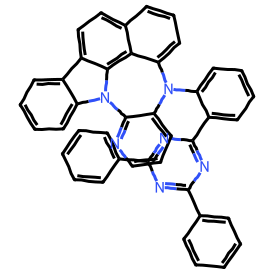 c1ccc(-c2nc(-c3ccccc3)nc(-c3ccccc3-n3c4cccc5ccc6c7ccccc7n(c7ncccc73)c6c54)n2)cc1